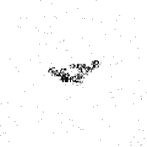 CCc1cc(Nc2nccn3c(-c4cn(CC(F)F)nc4C(F)(F)F)cnc23)ccc1C(=O)NCCCCCN(CC(=O)OC(C)(C)C)CC1CN(C(=O)OC(C)(C)C)C1